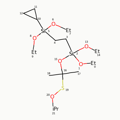 CCO[Si](CC[Si](OCC)(OCC)C1CC1)(OCC)OC(C)(C)SOC(C)C